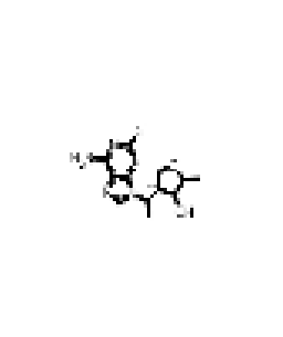 CC1OC[C@H](C(C)n2cnc3c(N)nc(Cl)nc32)C1O